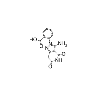 Nc1c2c(nn1-c1ccccc1C(=O)O)CC(=O)NC2=O